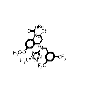 CCCCC(=O)N1c2ccc(OC(F)(F)F)cc2[C@@H](N(Cc2cc(C(F)(F)F)cc(C(F)(F)F)c2)c2nnn(C)n2)C[C@H]1CC